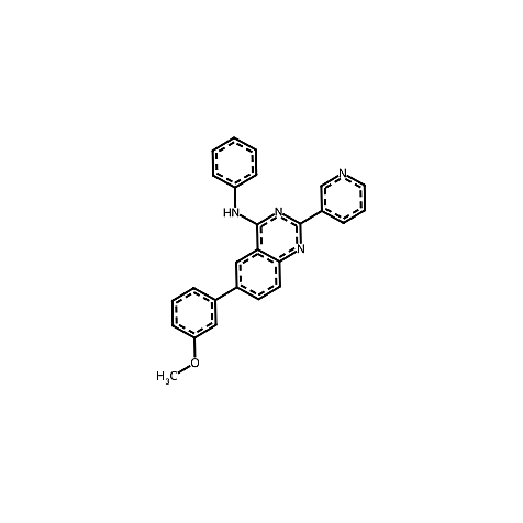 COc1cccc(-c2ccc3nc(-c4cccnc4)nc(Nc4ccccc4)c3c2)c1